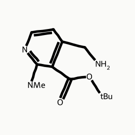 CNc1nccc(CN)c1C(=O)OC(C)(C)C